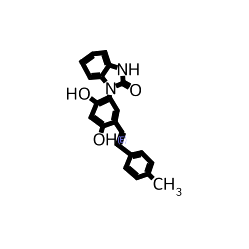 Cc1ccc(/C=C/c2cc(-n3c(=O)[nH]c4ccccc43)c(O)cc2O)cc1